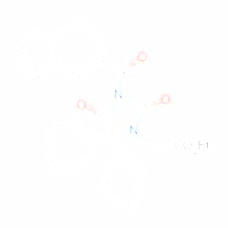 CCOC(=O)CN1C(=O)N(C(=O)c2ccc3ccccc3c2)C(=O)C1(c1ccccc1)c1ccccc1